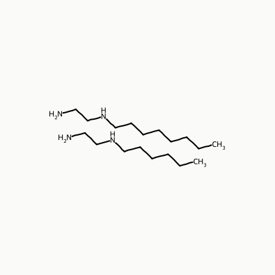 CCCCCCCCNCCN.CCCCCCNCCN